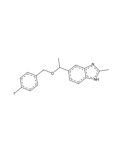 Cc1nc2cc(C(C)OCc3ccc(I)cc3)ccc2[nH]1